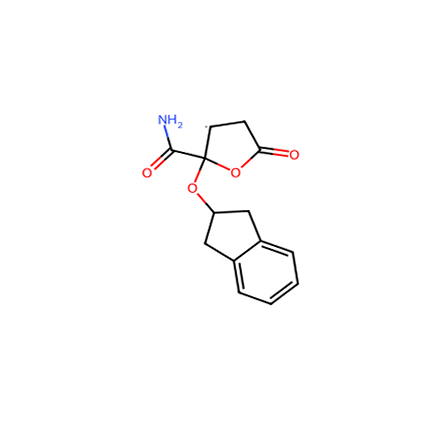 NC(=O)C1(OC2Cc3ccccc3C2)[CH]CC(=O)O1